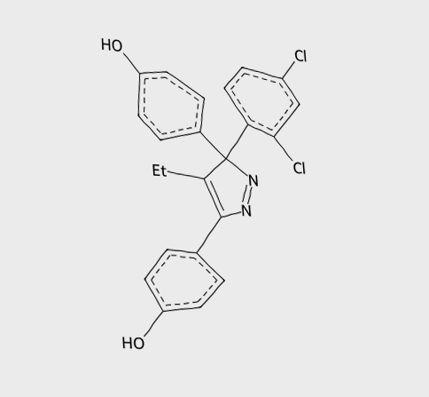 CCC1=C(c2ccc(O)cc2)N=NC1(c1ccc(O)cc1)c1ccc(Cl)cc1Cl